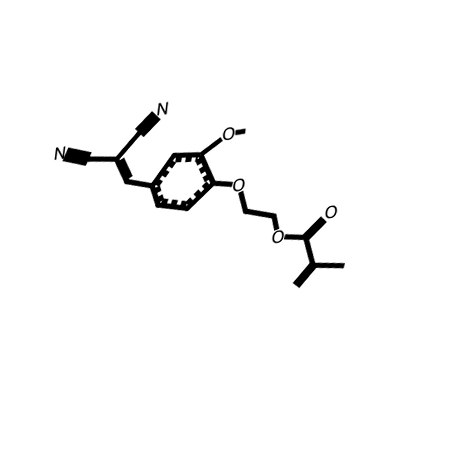 C=C(C)C(=O)OCCOc1ccc(C=C(C#N)C#N)cc1OC